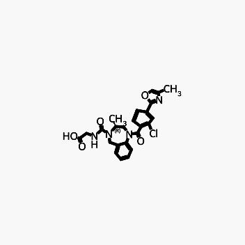 Cc1coc(-c2ccc(C(=O)N3C[C@@H](C)N(C(=O)NCC(=O)O)Cc4ccccc43)c(Cl)c2)n1